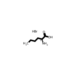 Br.CCCC[C@H](N)C(=O)O